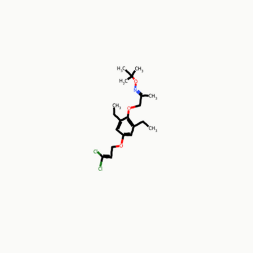 CCc1cc(OCC=C(Cl)Cl)cc(CC)c1OCC(C)=NOC(C)(C)C